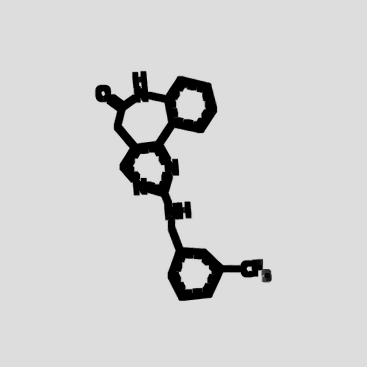 O=C1Cc2cnc(NCc3cccc(C(F)(F)F)c3)nc2-c2ccccc2N1